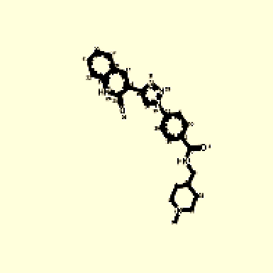 CN1CCC(CNC(=O)c2ccc(-n3cc(-c4cc5ccccc5[nH]c4=O)nn3)cc2)CC1